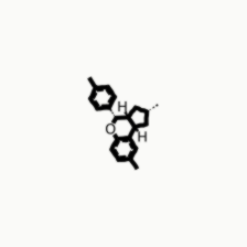 Cc1ccc([C@H]2Oc3ccc(C)cc3[C@H]3C[C@@H](C)C[C@H]32)cc1